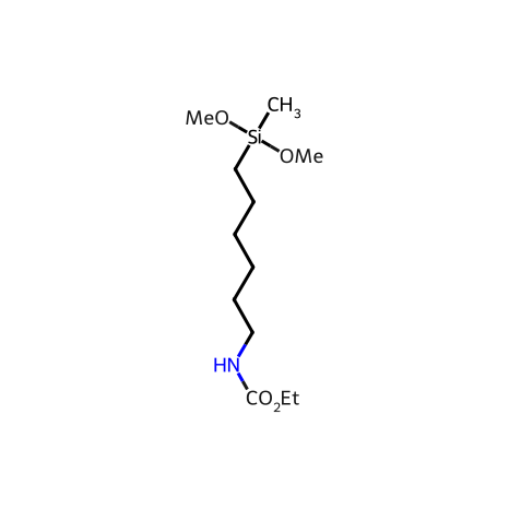 CCOC(=O)NCCCCCC[Si](C)(OC)OC